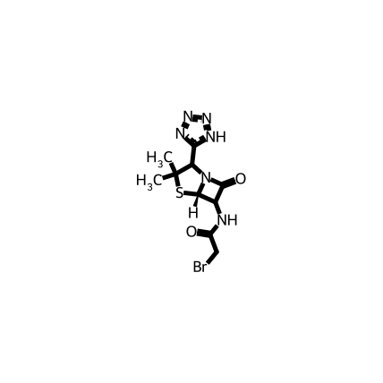 CC1(C)S[C@H]2C(NC(=O)CBr)C(=O)N2C1c1nnn[nH]1